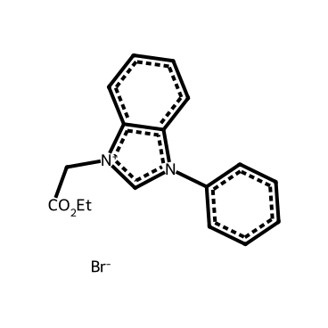 CCOC(=O)C[n+]1cn(-c2ccccc2)c2ccccc21.[Br-]